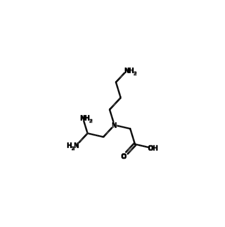 NCCCN(CC(=O)O)CC(N)N